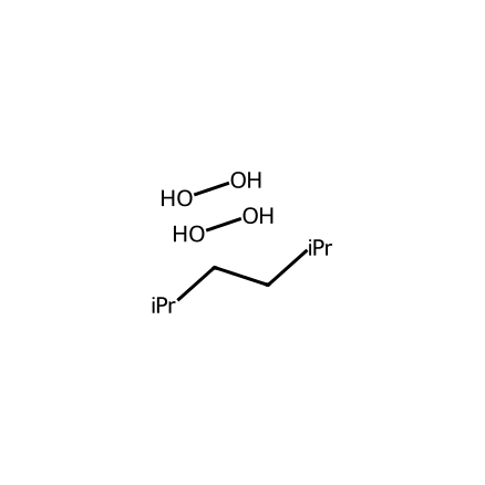 CC(C)CCC(C)C.OO.OO